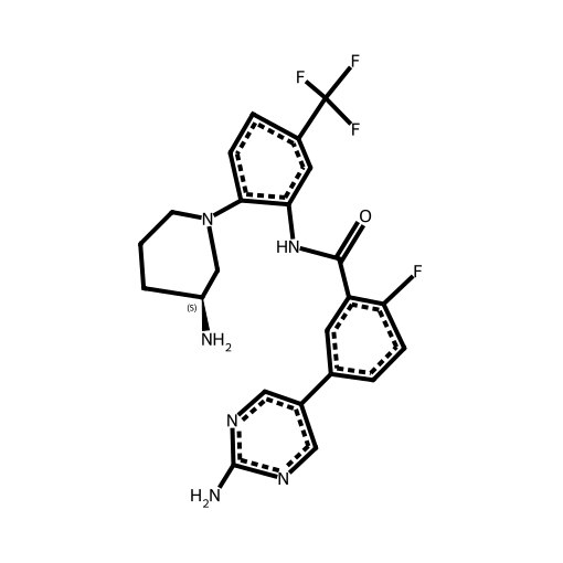 Nc1ncc(-c2ccc(F)c(C(=O)Nc3cc(C(F)(F)F)ccc3N3CCC[C@H](N)C3)c2)cn1